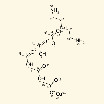 CC(=O)O.CC(=O)O.CC(=O)O.CC(=O)[O-].CC(=O)[O-].NCCNCCN.[Cu+2]